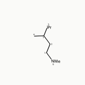 CNCCC(C)C(C)C